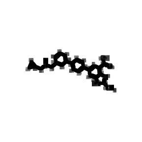 Cc1nc2c(C(=O)O)cc(-c3ccc(-c4cccc(CNCC5CC5)c4)cc3)cc2[nH]1